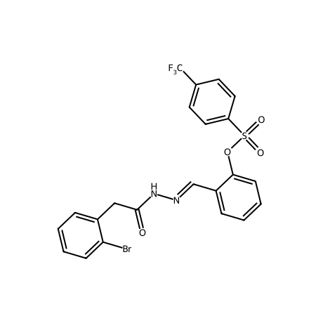 O=C(Cc1ccccc1Br)NN=Cc1ccccc1OS(=O)(=O)c1ccc(C(F)(F)F)cc1